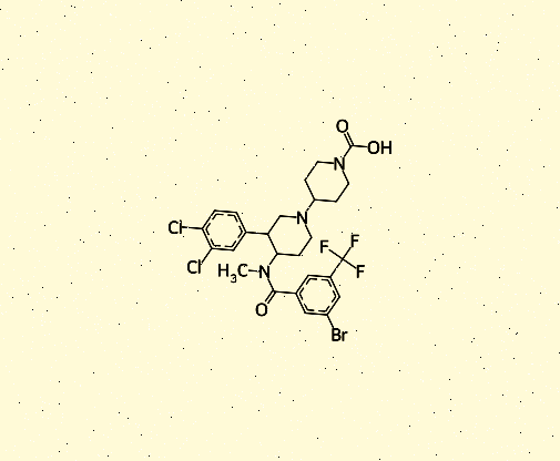 CN(C(=O)c1cc(Br)cc(C(F)(F)F)c1)C1CCN(C2CCN(C(=O)O)CC2)CC1c1ccc(Cl)c(Cl)c1